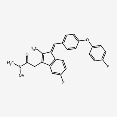 CC1=C(CC(=O)N(C)O)c2cc(F)ccc2/C1=C\c1ccc(Oc2ccc(F)cc2)cc1